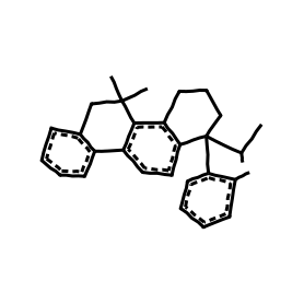 Cc1ccccc1C1(C(C)C)CCCc2c1ccc1c2C(C)(C)Cc2ccccc2-1